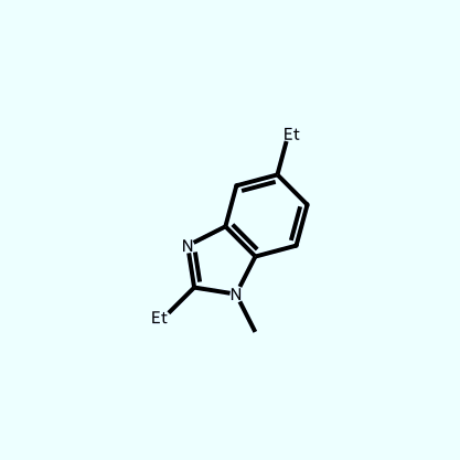 CCc1ccc2c(c1)nc(CC)n2C